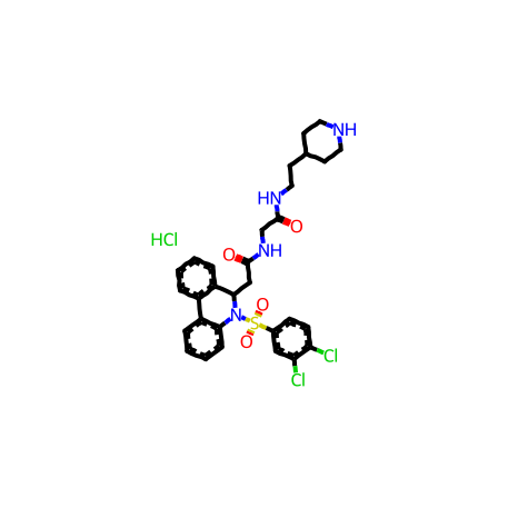 Cl.O=C(CNC(=O)CC1c2ccccc2-c2ccccc2N1S(=O)(=O)c1ccc(Cl)c(Cl)c1)NCCC1CCNCC1